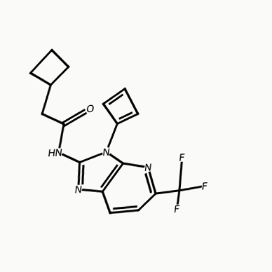 O=C(CC1CCC1)Nc1nc2ccc(C(F)(F)F)nc2n1C1=CC=C1